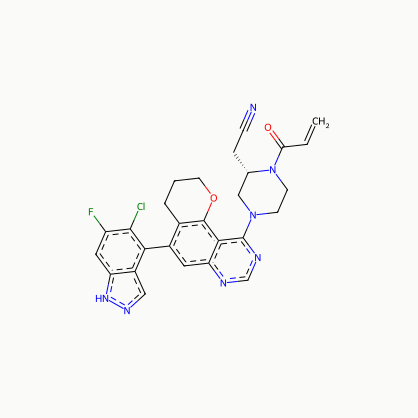 C=CC(=O)N1CCN(c2ncnc3cc(-c4c(Cl)c(F)cc5[nH]ncc45)c4c(c23)OCCC4)C[C@@H]1CC#N